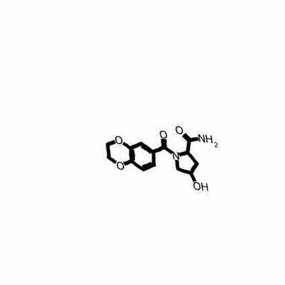 NC(=O)C1CC(O)CN1C(=O)c1ccc2c(c1)OCCO2